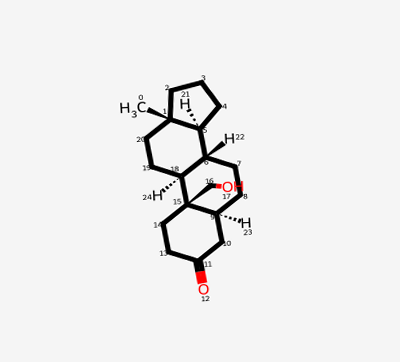 C[C@@]12CCC[C@H]1[C@@H]1CC[C@H]3CC(=O)CC[C@]3(CO)[C@H]1CC2